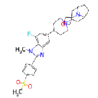 Cn1c(-c2ccc(S(C)(=O)=O)cc2)nc2cc(C3CCN(C4CC5CCC(C4)N5C4COC4)CC3)cc(F)c21